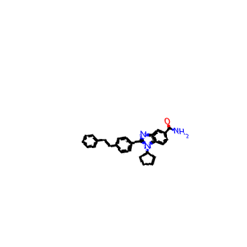 NC(=O)c1ccc2c(c1)nc(-c1ccc(/C=C/c3ccccc3)cc1)n2C1CCCC1